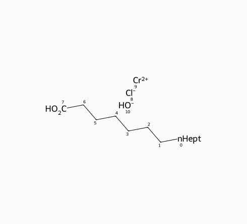 CCCCCCCCCCCCCC(=O)O.[Cl-].[Cr+2].[OH-]